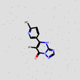 CC(C)c1c(-c2ccc(C#N)nc2)[nH]c2ncnn2c1=O